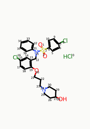 Cl.O=S(=O)(c1ccc(Cl)cc1)N(Cc1cc(Cl)ccc1OCCCN1CCC(O)CC1)c1ccccc1